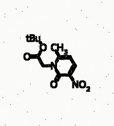 Cc1ccc([N+](=O)[O-])c(=O)n1CC(=O)OC(C)(C)C